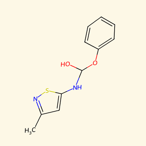 Cc1cc(NC(O)Oc2ccccc2)sn1